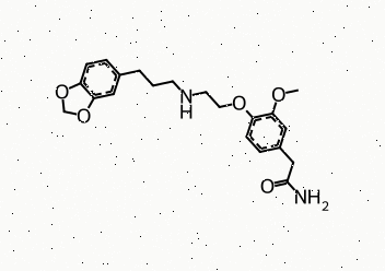 COc1cc(CC(N)=O)ccc1OCCNCCCc1ccc2c(c1)OCO2